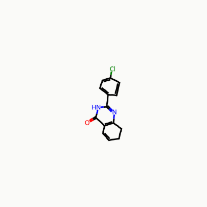 O=c1[nH]c(-c2ccc(Cl)cc2)nc2c1C=CCC2